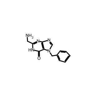 NCc1nc2ncn(Cc3ccccc3)c2c(=O)[nH]1